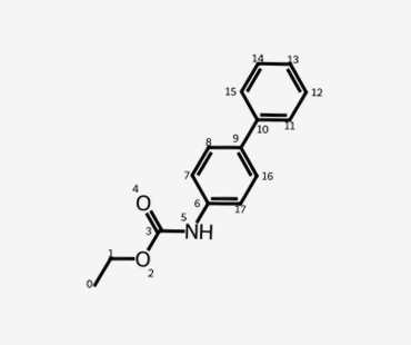 CCOC(=O)Nc1ccc(-c2ccccc2)cc1